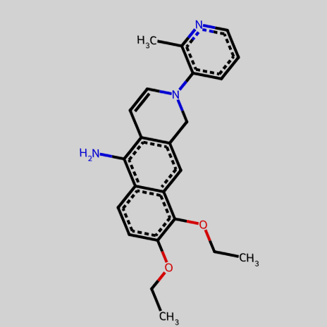 CCOc1ccc2c(N)c3c(cc2c1OCC)CN(c1cccnc1C)C=C3